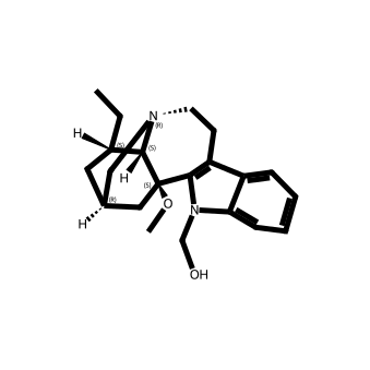 CC[C@H]1C[C@H]2C[N@]3CCc4c(n(CO)c5ccccc45)[C@](OC)(C2)[C@H]13